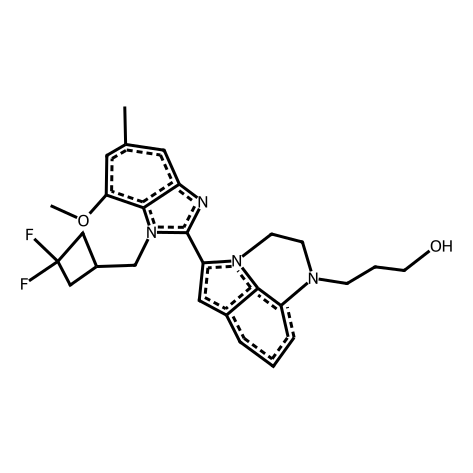 COc1cc(C)cc2nc(-c3cc4cccc5c4n3CCN5CCCO)n(CC3CC(F)(F)C3)c12